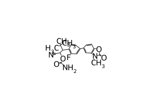 Cn1c(=O)oc2ccc(-c3ccc(C(C(C#N)OC(N)=O)C(C)(C)C)c(F)c3)cc21